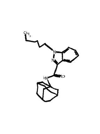 CCCCCn1nc(C(=O)NC23CC4CC(CC(C4)C2)C3)c2ccccc21